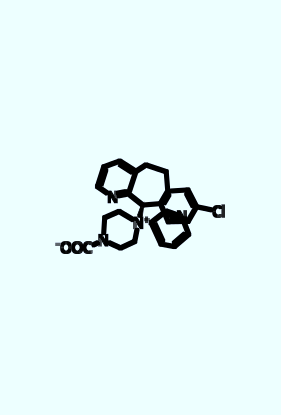 O=C([O-])N1CC[N+](c2cccnc2)([C@@H]2c3ccc(Cl)cc3CCc3cccnc32)CC1